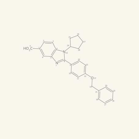 O=C(O)c1ccc2c(c1)nc(-c1ccc(OCc3ccccc3)cc1)n2C1CCCC1